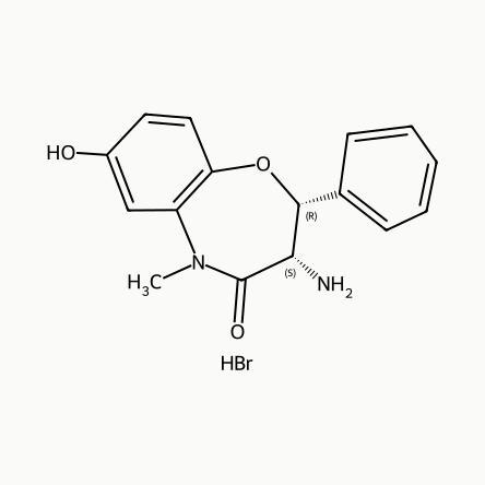 Br.CN1C(=O)[C@@H](N)[C@@H](c2ccccc2)Oc2ccc(O)cc21